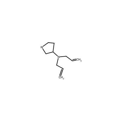 C=CCN(CC=C)C1CC[N]C1